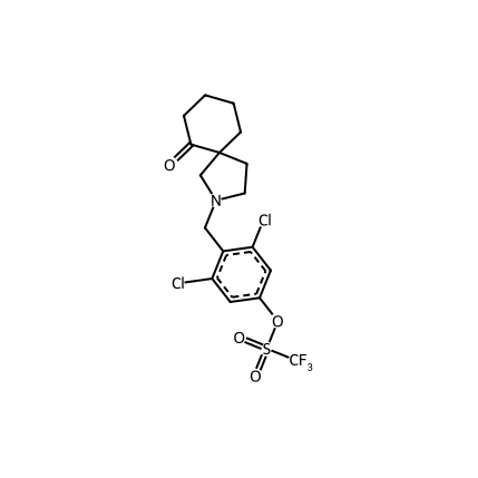 O=C1CCCCC12CCN(Cc1c(Cl)cc(OS(=O)(=O)C(F)(F)F)cc1Cl)C2